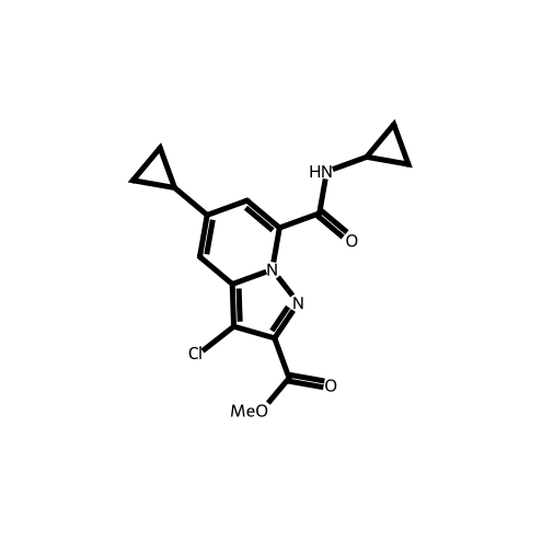 COC(=O)c1nn2c(C(=O)NC3CC3)cc(C3CC3)cc2c1Cl